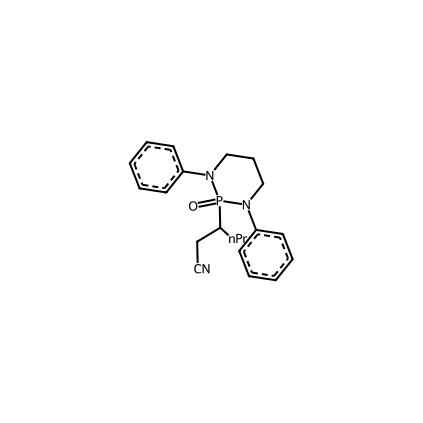 CCCC(CC#N)P1(=O)N(c2ccccc2)CCCN1c1ccccc1